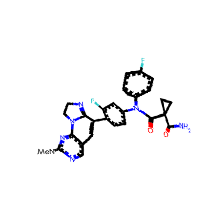 CNc1ncc2c(n1)N1CCN=C1C(c1ccc(N(C(=O)C3(C(N)=O)CC3)c3ccc(F)cc3)cc1F)=C2